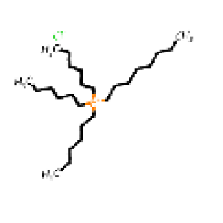 CCCCCCCC[P+](CCCCCC)(CCCCCC)CCCCCC.[Cl-]